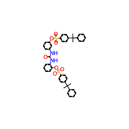 CC(C)(c1ccccc1)c1ccc(S(=O)(=O)Oc2cccc(NC(=O)Nc3ccccc3OS(=O)(=O)c3ccc(C(C)(C)c4ccccc4)cc3)c2)cc1